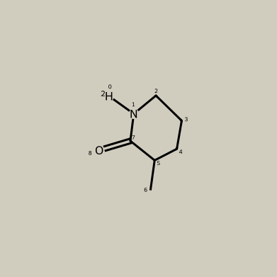 [2H]N1CCCC(C)C1=O